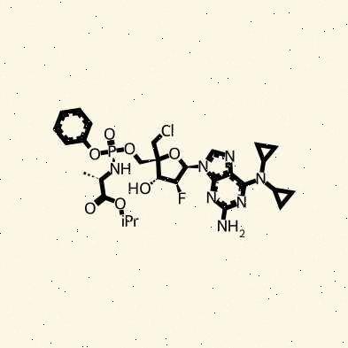 CC(C)OC(=O)[C@H](C)N[P@](=O)(OC[C@@]1(CCl)O[C@@H](n2cnc3c(N(C4CC4)C4CC4)nc(N)nc32)[C@@H](F)[C@@H]1O)Oc1ccccc1